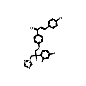 C=C(/C=C/c1ccc(Cl)cc1)c1ccc(OCC(I)(Cn2cncn2)c2ccc(F)cc2F)cc1